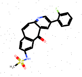 CS(=O)(=O)Nc1ccc2ccc3ncc(-c4ccccc4F)cc3c(=O)c2c1